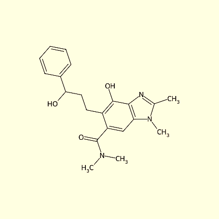 Cc1nc2c(O)c(CCC(O)c3ccccc3)c(C(=O)N(C)C)cc2n1C